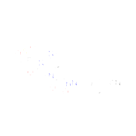 CS(=O)(=O)C1(CN2C(=O)Cn3c(=O)c(C(=O)NCc4ccc(C#N)cc4)cc4ccnc2c43)CC1